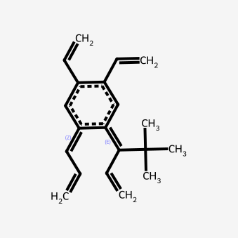 C=C/C=c1/cc(C=C)c(C=C)c/c1=C(/C=C)C(C)(C)C